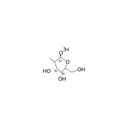 [3H]O[C@H]1OC(CO)[C@H](O)[C@H](O)C1C